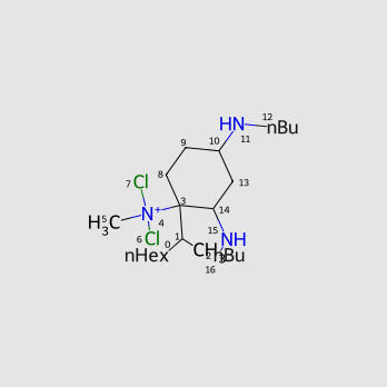 CCCCCCC(C)C1([N+](C)(Cl)Cl)CCC(NCCCC)CC1NCCCC